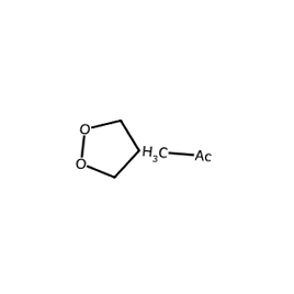 C1COOC1.CC(C)=O